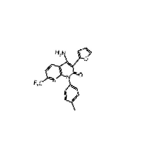 Cc1ccc(-n2c(=O)c(-c3ccco3)c(N)c3ccc(C(F)(F)F)nc32)cc1